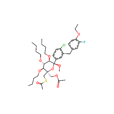 CCCCO[C@@H]1[C@@H](OCCCC)[C@](OC)(c2ccc(Cl)c(Cc3ccc(OCC)c(F)c3)c2)O[C@@](COC(C)=O)(CSC(C)=O)[C@H]1OCCCC